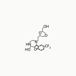 OCC1COCC(CCN2CCNC(O)c3oc4ccc(C(F)(F)F)cc4c32)O1